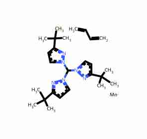 C=CC=C.CC(C)(C)c1ccn(C(n2ccc(C(C)(C)C)n2)n2ccc(C(C)(C)C)n2)n1.[Mn]